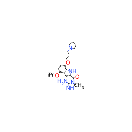 CC(C)Oc1ccc(OCCCN2CCCC2)c2[nH]c(C(=O)N(C)C(=N)N)cc12